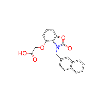 O=C(O)COc1cccc2oc(=O)n(Cc3ccc4ccccc4c3)c12